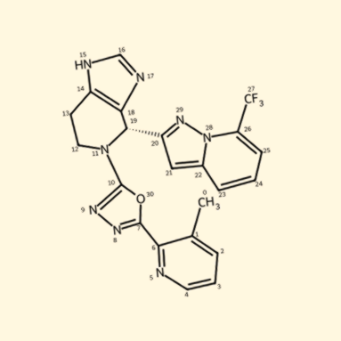 Cc1cccnc1-c1nnc(N2CCc3[nH]cnc3[C@@H]2c2cc3cccc(C(F)(F)F)n3n2)o1